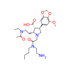 CCCCN(CCN)C(=O)CN1C[C@H](c2cc(OC)c3c(c2)OCO3)[C@@H](C(=O)O)[C@@H]1CCN(CC)C(C)=O